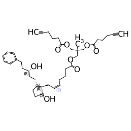 C#CCCCC(=O)OCC(C)(COC(=O)CCCC#C)COC(=O)CCC/C=C\C[C@@H]1[C@@H](CC[C@@H](O)CCc2ccccc2)CC[C@@H]1O